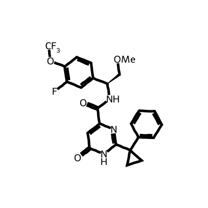 COC[C@@H](NC(=O)c1cc(=O)[nH]c(C2(c3ccccc3)CC2)n1)c1ccc(OC(F)(F)F)c(F)c1